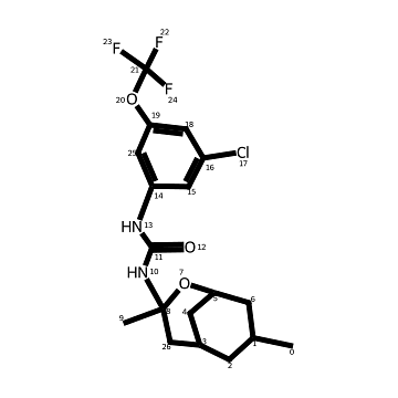 CC1CC2CC(C1)OC(C)(NC(=O)Nc1cc(Cl)cc(OC(F)(F)F)c1)C2